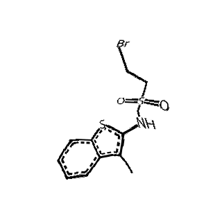 Cc1c(NS(=O)(=O)CCBr)sc2ccccc12